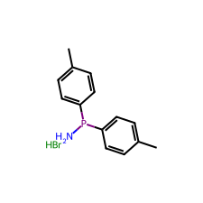 Br.Cc1ccc(P(N)c2ccc(C)cc2)cc1